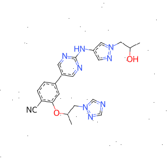 CC(O)Cn1cc(Nc2ncc(-c3ccc(C#N)c(OC(C)Cn4cncn4)c3)cn2)cn1